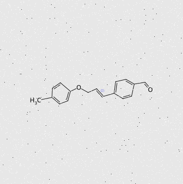 Cc1ccc(OC/C=C/c2ccc(C=O)cc2)cc1